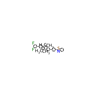 CC1(C)C2=C(c3ccc(-c4ccc(-c5nc6ccccc6s5)cc4)cc31)C(C)(C)c1cc(-c3cc(F)cc(F)c3)ccc12